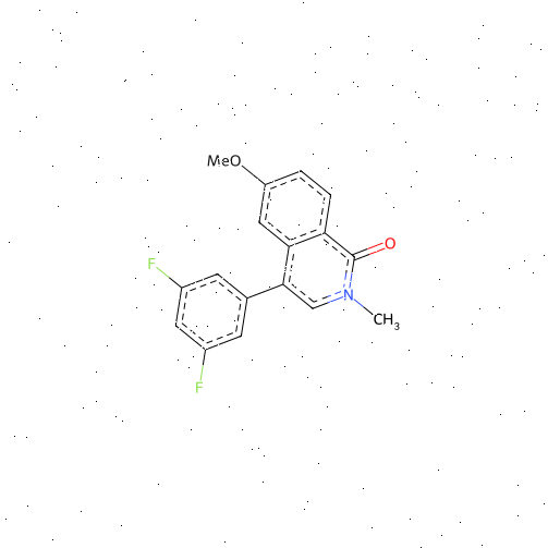 COc1ccc2c(=O)n(C)cc(-c3cc(F)cc(F)c3)c2c1